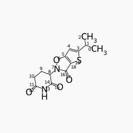 CC(C)c1cc2on(C3CCC(=O)NC3=O)c(=O)c2s1